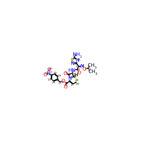 CC(C)O/N=C(\C(=O)NC1C(=O)N2C(C(=O)OCc3ccc([N+](=O)[O-])cc3)=CCS[C@H]12)c1nsc(N)n1